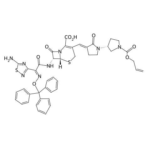 C=CCOC(=O)N1CC[C@@H](N2CCC(=CC3=C(C(=O)O)N4C(=O)[C@@H](NC(=O)C(=NOC(c5ccccc5)(c5ccccc5)c5ccccc5)c5nsc(N)n5)[C@H]4SC3)C2=O)C1